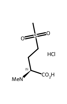 CN[C@@H](CCS(C)(=O)=O)C(=O)O.Cl